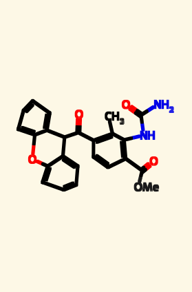 COC(=O)c1ccc(C(=O)C2c3ccccc3Oc3ccccc32)c(C)c1NC(N)=O